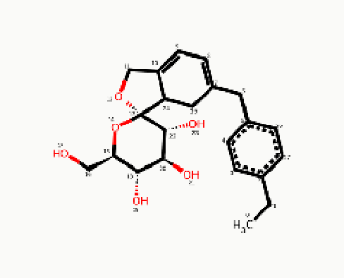 CCc1ccc(CC2=CC=C3CO[C@]4(O[C@H](CO)[C@@H](O)[C@H](O)[C@H]4O)C3C2)cc1